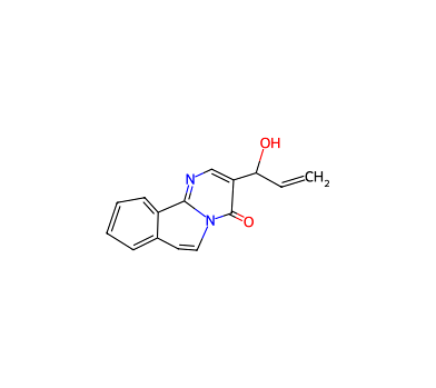 C=CC(O)c1cnc2c3ccccc3ccn2c1=O